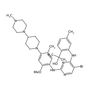 COc1cc(N2CCC(N3CCN(C)CC3)CC2)c(C)cc1Nc1ncc(Br)c(Nc2cc(C)ccc2C(C)(C)O)n1